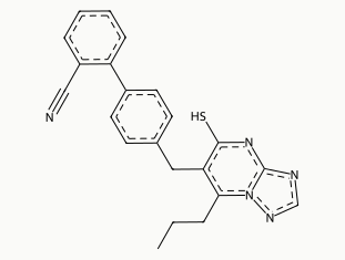 CCCc1c(Cc2ccc(-c3ccccc3C#N)cc2)c(S)nc2ncnn12